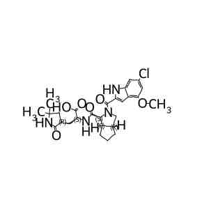 COc1cc(Cl)cc2[nH]c(C(=O)N3C[C@@H]4CCC[C@@H]4[C@H]3C(=O)N[C@@H](C[C@@H]3CC(C)(C)NC3=O)C(=O)O)cc12